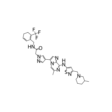 Cc1cn2c(-c3cnn(CC(=O)NCC4=C(C(F)(F)F)CCC=C4)c3)cnc2c(Nc2cc(CN3CCCC(C)C3)ns2)n1